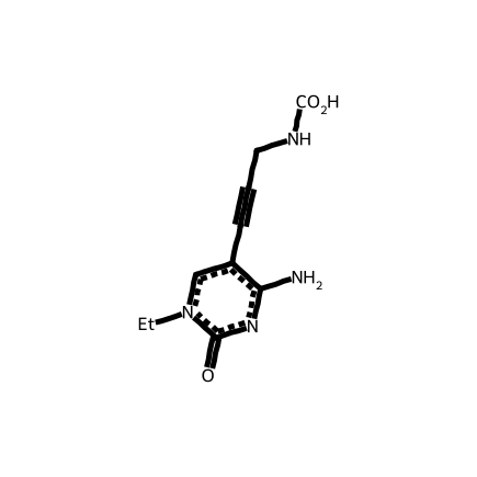 CCn1cc(C#CCNC(=O)O)c(N)nc1=O